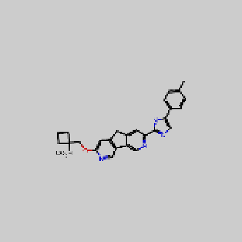 Cc1ccc(-c2cnc(-c3cc4c(cn3)-c3cnc(OCC5(C(=O)O)CCC5)cc3C4)[nH]2)cc1